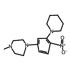 CN1CCN(c2ccc([N+](=O)[O-])c(N3CCCCC3)c2)CC1